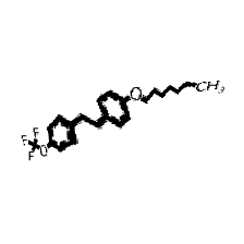 CCCCCCCOc1ccc(CCc2ccc(OC(F)(F)F)cc2)cc1